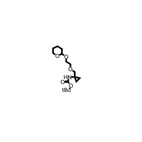 CC(C)(C)OC(=O)NC1(COCCOC2CCCCO2)CC1